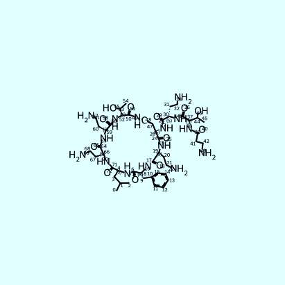 CC(C)C[C@@H]1NC(=O)[C@@H](Cc2ccccc2)NC(=O)[C@H](CCN)NC(=O)[C@@H](NC(=O)[C@H](CCN)NC(=O)[C@@H](NC(=O)CCN)C(C)O)CCNC(=O)[C@H](C(C)O)NC(=O)[C@H](CCN)NC(=O)[C@H](CCN)NC1=O